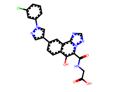 O=C(O)CNC(=O)c1c(O)c2ccc(-c3cnn(-c4cccc(Cl)c4)c3)cc2c2ncnn12